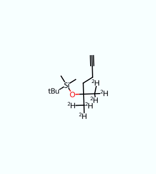 [2H]C([2H])([2H])C(CCC#C)(O[Si](C)(C)C(C)(C)C)C([2H])([2H])[2H]